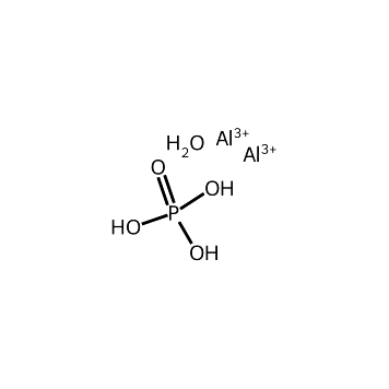 O.O=P(O)(O)O.[Al+3].[Al+3]